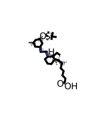 C[C@@H]1C/C(=C/C=C2\CCC[C@]3(C)[C@@H]([C@H](C)CCCCC(=O)O)CC[C@@H]23)C[C@@H](O[Si](C)(C)C(C)(C)C)C1